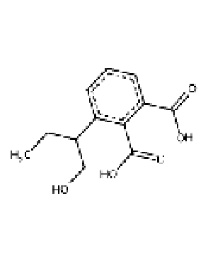 CCC(CO)c1cccc(C(=O)O)c1C(=O)O